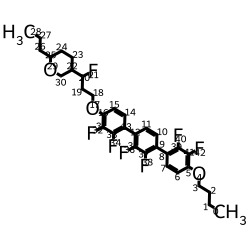 CCCCOc1ccc(-c2ccc(-c3ccc(OCCC(F)C4CCC(CCC)OC4)c(F)c3F)c(F)c2F)c(F)c1F